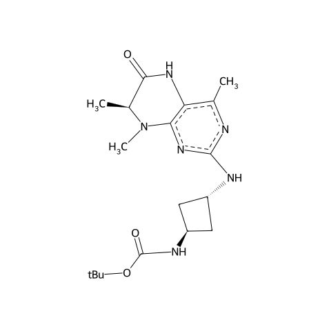 Cc1nc(N[C@H]2C[C@H](NC(=O)OC(C)(C)C)C2)nc2c1NC(=O)[C@H](C)N2C